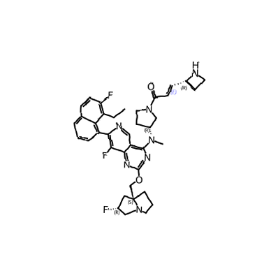 CCc1c(F)ccc2cccc(-c3ncc4c(N(C)[C@@H]5CCN(C(=O)/C=C/[C@H]6CCN6)C5)nc(OC[C@@]56CCCN5C[C@H](F)C6)nc4c3F)c12